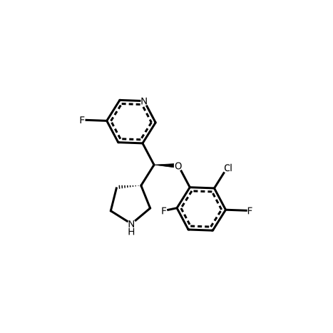 Fc1cncc([C@@H](Oc2c(F)ccc(F)c2Cl)[C@H]2CCNC2)c1